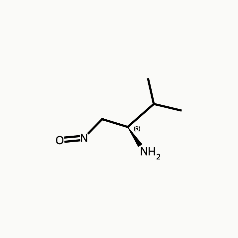 CC(C)[C@@H](N)CN=O